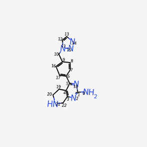 Nc1nc2c(c(-c3ccc(Cn4ccnn4)cc3)n1)CCNC2